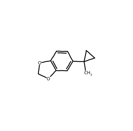 CC1(c2ccc3c(c2)OCO3)CC1